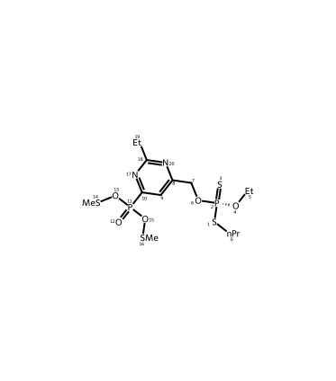 CCCS[P@@](=S)(OCC)OCc1cc(P(=O)(OSC)OSC)nc(CC)n1